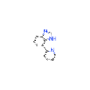 c1ccc(-c2cccc3nc[nH]c23)nc1